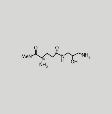 CNC(=O)[C@@H](N)CCC(=O)NCC(O)CN